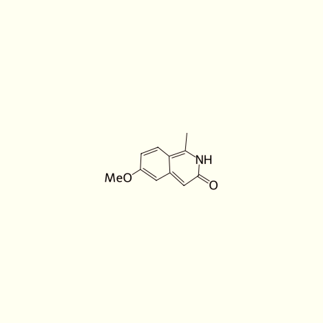 COc1ccc2c(C)[nH]c(=O)cc2c1